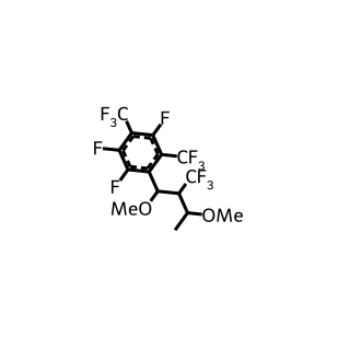 COC(C)C(C(OC)c1c(F)c(F)c(C(F)(F)F)c(F)c1C(F)(F)F)C(F)(F)F